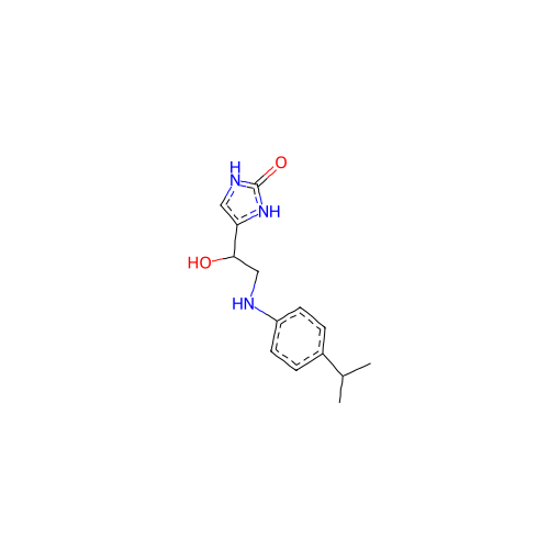 CC(C)c1ccc(NCC(O)c2c[nH]c(=O)[nH]2)cc1